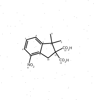 CC1(C)c2cccc([N+](=O)[O-])c2CC1(C(=O)O)C(=O)O